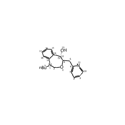 CCCCN1COC(Cc2ccccn2)[C@@H](O)c2ccccc21